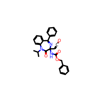 CC(C)N1C(=O)C(C=C=O)(NC(=O)OCc2ccccc2)N=C(c2ccccc2)c2ccccc21